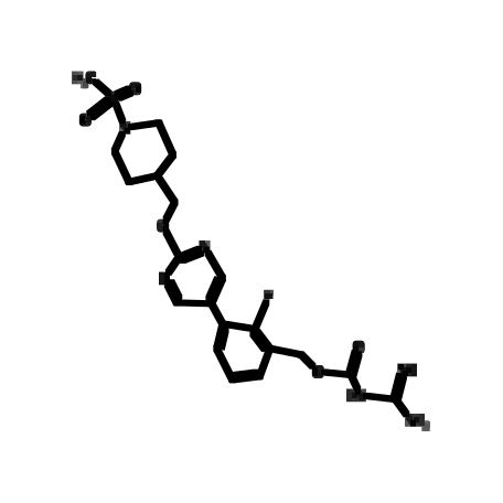 CS(=O)(=O)N1CCC(COc2ncc(-c3cccc(COC(=O)NC(=N)N)c3F)cn2)CC1